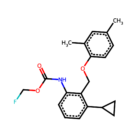 Cc1ccc(OCc2c(NC(=O)OCF)cccc2C2CC2)c(C)c1